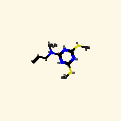 C=CCN(C(=O)OCC)c1nc(SC(C)(C)C)nc(SC(C)(C)C)n1